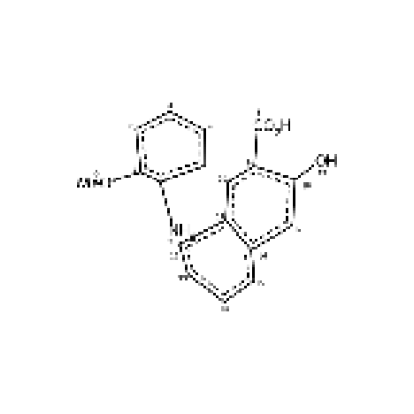 COc1ccccc1N.O=C(O)c1cc2ccccc2cc1O